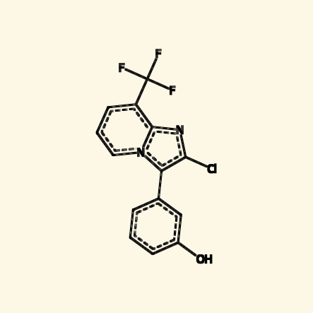 Oc1cccc(-c2c(Cl)nc3c(C(F)(F)F)cccn23)c1